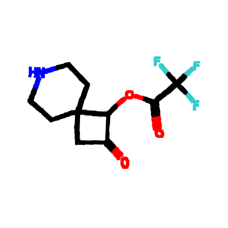 O=C1CC2(CCNCC2)C1OC(=O)C(F)(F)F